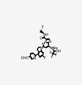 CNc1cc(N2CCc3c(-c4ccc(C=O)cn4)cc(F)cc32)nn2c(C(=O)N[C@@H]3C[C@@H]3F)cnc12.O=C(O)C(F)(F)F